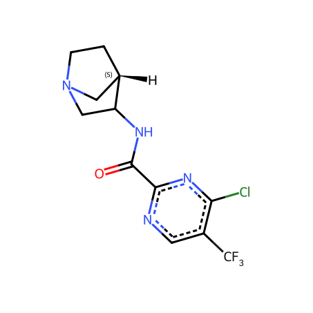 O=C(NC1CN2CC[C@H]1C2)c1ncc(C(F)(F)F)c(Cl)n1